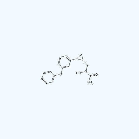 NC(=O)N(O)CC1CC1c1cccc(Oc2ccncc2)c1